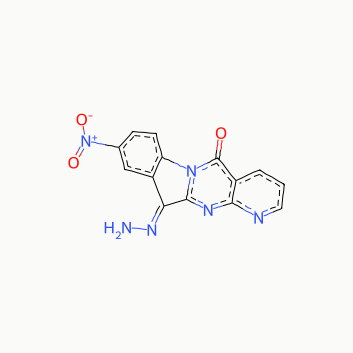 NN=C1c2cc([N+](=O)[O-])ccc2-n2c1nc1ncccc1c2=O